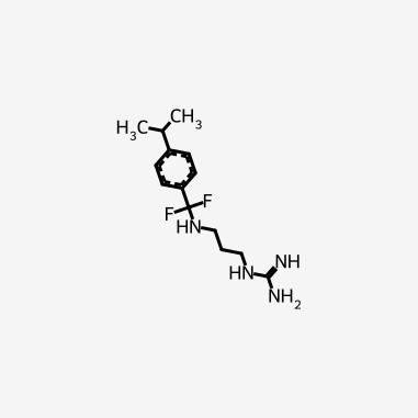 CC(C)c1ccc(C(F)(F)NCCCNC(=N)N)cc1